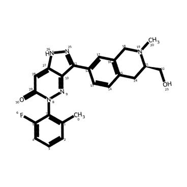 Cc1cccc(F)c1-n1nc2c(-c3ccc4c(c3)CN(C)[C@@H](CO)C4)n[nH]c2cc1=O